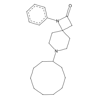 O=C1CC2(CCN(C3CCCCCCCCC3)CC2)N1c1ccccc1